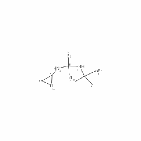 CCCC(C)(C)NC(CC)(CC)NC1CO1